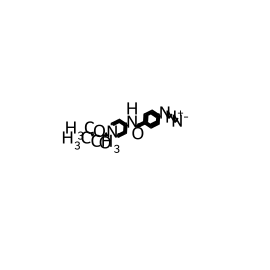 CC(C)(C)OC(=O)N1CCC(NC(=O)c2ccc(N=[N+]=[N-])cc2)CC1